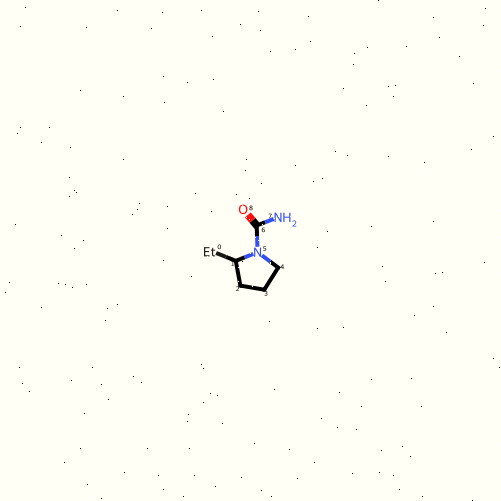 CCC1CCCN1C(N)=O